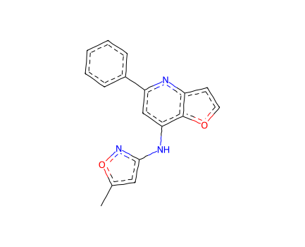 Cc1cc(Nc2cc(-c3ccccc3)nc3ccoc23)no1